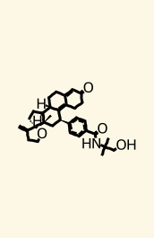 C=C1CCO[C@@]12CC[C@H]1[C@@H]3CCC4=CC(=O)CCC4=C3[C@@H](c3ccc(C(=O)NC(C)(C)CO)cc3)C[C@@]12C